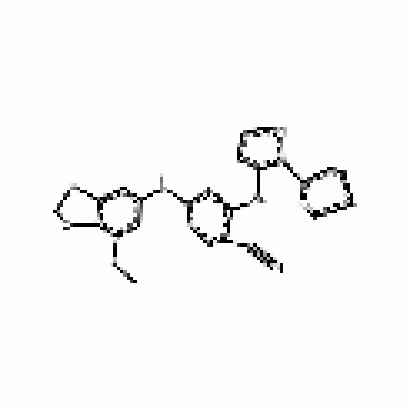 COc1cc(Nc2ncc(C#N)c(Nc3cccnc3-c3ccccn3)n2)cc2c1OCO2